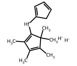 CC1=C(C)C(C)(C)[C]([Hf][C]2=CC=CC2)=C1C.[H-].[H-]